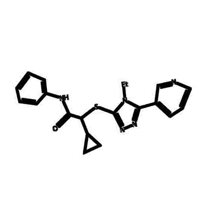 CCn1c(SC(C(=O)Nc2ccccc2)C2CC2)nnc1-c1cccnc1